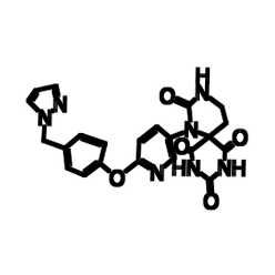 O=C1NC(=O)C2(CCNC(=O)N2c2ccc(Oc3ccc(Cn4cccn4)cc3)nc2)C(=O)N1